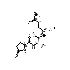 CC(C)[C@H](NC(=O)[C@@H]1CCC(=O)N1)C(=O)N[C@@H](CCC(N)=O)C(=O)O